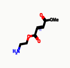 COC(=O)/C=C/C(=O)OCCN